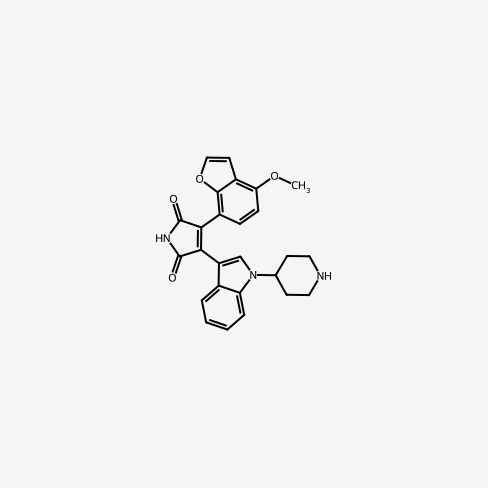 COc1ccc(C2=C(c3cn(C4CCNCC4)c4ccccc34)C(=O)NC2=O)c2occc12